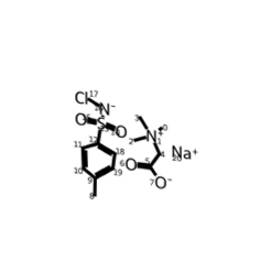 C[N+](C)(C)CC(=O)[O-].Cc1ccc(S(=O)(=O)[N-]Cl)cc1.[Na+]